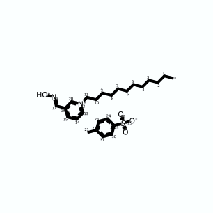 CCCCCCCCCCCC[n+]1cccc(C=NO)c1.Cc1ccc(S(=O)(=O)[O-])cc1